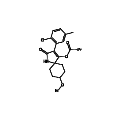 CCOC1CCC2(CC1)NC(=O)C(c1cc(C)ccc1Cl)=C2OC(=O)C(C)C